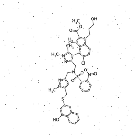 COC(=O)c1c(C)c2c(-c3c(CN(Cc4cc(CSc5cc(O)c6ccccc6c5)n(C)n4)S(=O)(=O)c4ccccc4[N+](=O)[O-])nn(C)c3C)c(Cl)ccc2n1CCCO